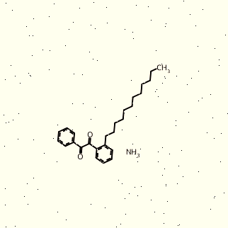 CCCCCCCCCCCCc1ccccc1C(=O)C(=O)c1ccccc1.N